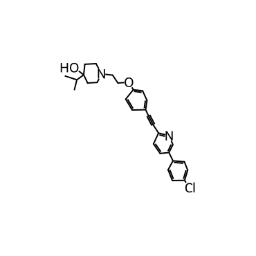 CC(C)C1(O)CCN(CCOc2ccc(C#Cc3ccc(-c4ccc(Cl)cc4)cn3)cc2)CC1